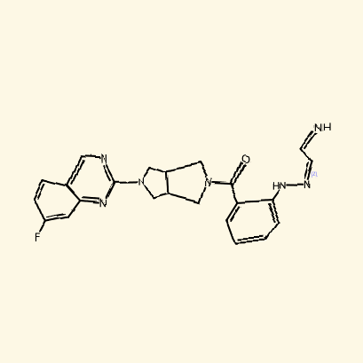 N=C/C=N\Nc1ccccc1C(=O)N1CC2CN(c3ncc4ccc(F)cc4n3)CC2C1